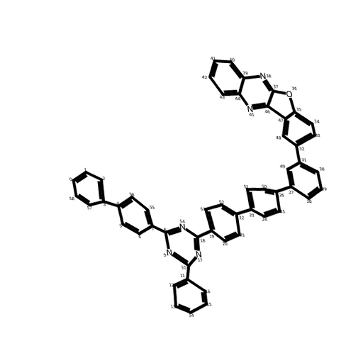 c1ccc(-c2ccc(-c3nc(-c4ccccc4)nc(-c4ccc(-c5ccc(-c6cccc(-c7ccc8oc9nc%10ccccc%10nc9c8c7)c6)cc5)cc4)n3)cc2)cc1